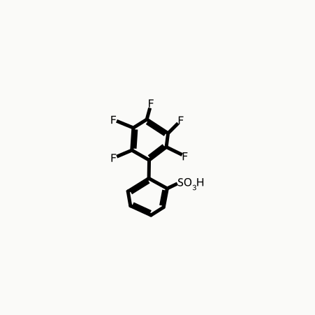 O=S(=O)(O)c1ccccc1-c1c(F)c(F)c(F)c(F)c1F